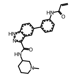 C=CC(=O)Nc1cccc(-c2ccc3[nH]nc(C(=O)NC4CCCN(C)C4)c3c2)c1